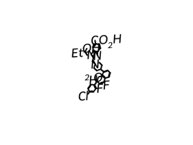 [2H][C@]1(c2ccc(Cl)cc2F)C=C(F)c2cccc(C3CCN(Cc4nc5ccc(C(=O)O)cc5n4C[C@@H](O)CC)CC3)c2O1